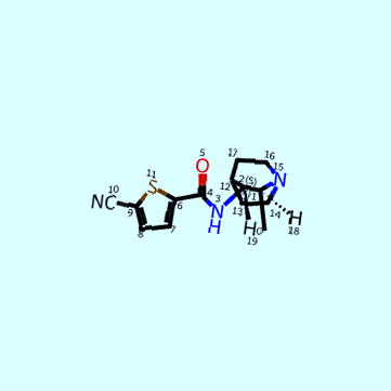 C[C@H]1[C@H](NC(=O)c2ccc(C#N)s2)C2CCN1CC2